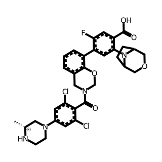 C[C@@H]1CN(c2cc(Cl)c(C(=O)N3COc4c(cccc4-c4cc(N5C6CCC5COC6)c(C(=O)O)cc4F)C3)c(Cl)c2)CCN1